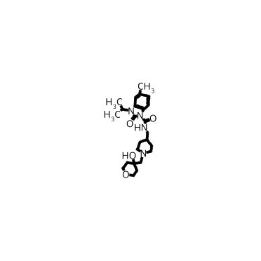 Cc1ccc2c(c1)n(C(C)C)c(=O)n2C(=O)NCC1CCN(CC2(O)CCOCC2)CC1